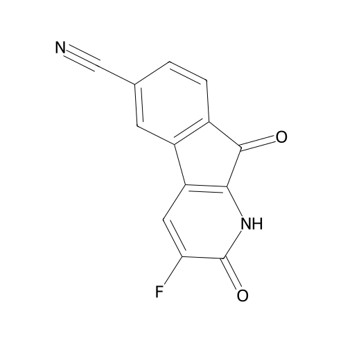 N#Cc1ccc2c(c1)-c1cc(F)c(=O)[nH]c1C2=O